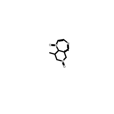 CC1C[N+](=O)CC23C=CC=CC2=NC=C[N+](=O)C13